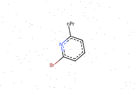 [CH2]CCc1cccc(Br)n1